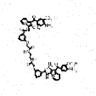 Cc1c(C(=O)c2ccc(N)c(C(=O)O)c2)c2ccccn2c1NC(=O)c1cccc(OCC(=O)NCCNC(=O)COc2cccc(C(=O)Nc3c(C)c(C(=O)c4ccc(N)c(C(=O)O)c4)c4ccccn34)c2)c1